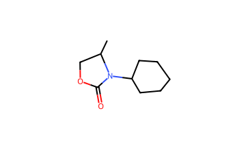 CC1COC(=O)N1C1CCCCC1